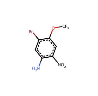 Nc1cc(Br)c(OC(F)(F)F)cc1[N+](=O)[O-]